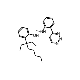 CCCCCC(CC)(CC)c1ccccc1O.CNc1ccccc1-c1ccnnn1